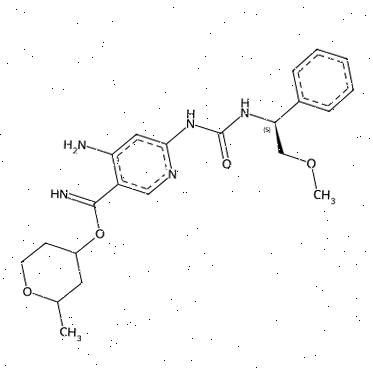 COC[C@@H](NC(=O)Nc1cc(N)c(C(=N)OC2CCOC(C)C2)cn1)c1ccccc1